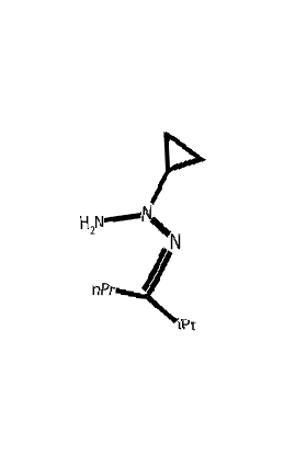 CCC/C(=N\N(N)C1CC1)C(C)C